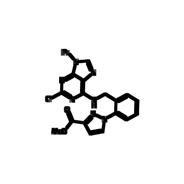 COC(=O)c1ccn(-c2ccccc2CNc2nc(Cl)nc3c2ncn3C(C)C)n1